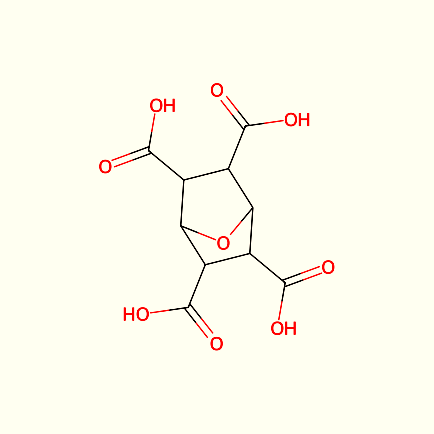 O=C(O)C1C2OC(C1C(=O)O)C(C(=O)O)C2C(=O)O